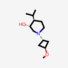 CO[C@H]1C[C@H](N2CC[C@H](C(C)C)[C@@H](O)C2)C1